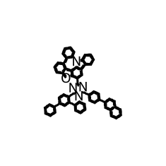 c1ccc(-c2ccc(-c3nc(-c4ccc(-c5ccc6ccccc6c5)cc4)nc(-c4cc5c6ccccc6n6c7ccccc7c7cccc8oc4c(c87)c56)n3)c(-c3ccccc3)c2)cc1